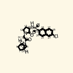 C[C@@H](C(=O)N1C[C@H]2CC[C@@H]1C2)N1CC[C@H](NS(=O)(=O)c2ccc3cc(Cl)ccc3c2)C1=O